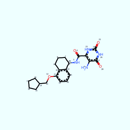 Nc1c(C(=O)N[C@@H]2CCCc3c(OCC4CCCC4)cccc32)[nH]c(=O)[nH]c1=O